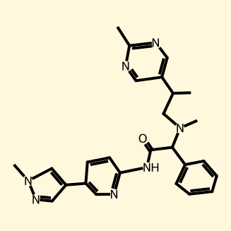 Cc1ncc(C(C)CN(C)C(C(=O)Nc2ccc(-c3cnn(C)c3)cn2)c2ccccc2)cn1